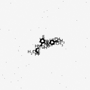 C=C(CCNC(=O)c1ccc(F)cc1NS(=O)(=O)c1ccc(C(C)(C)C)cc1)C(F)(F)F